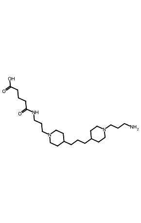 NCCCN1CCC(CCCC2CCN(CCCNC(=O)CCCC(=O)O)CC2)CC1